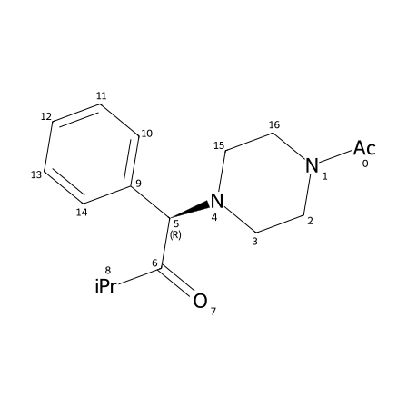 CC(=O)N1CCN([C@@H](C(=O)C(C)C)c2ccccc2)CC1